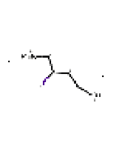 CCC(C)CCC(I)CNC